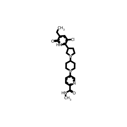 CCc1cc(Cl)c(C2CCN(C3CCN(c4ccc(C(=O)NC)nc4)CC3)C2)[nH]c1=O